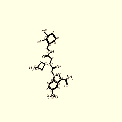 NC(=O)c1nn(CC(=O)N(CC(=O)NCc2cccc(Cl)c2F)[C@H]2C[C@H](N)C2)c2ccc([N+](=O)[O-])cc12